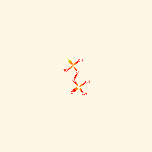 O=P(O)(O)OOP(O)(O)=S